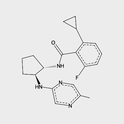 Cc1cnc(N[C@H]2CCC[C@@H]2NC(=O)c2c(F)cccc2C2CC2)cn1